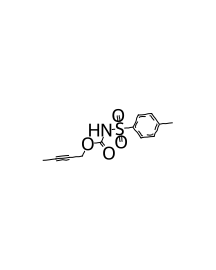 CC#CCOC(=O)NS(=O)(=O)c1ccc(C)cc1